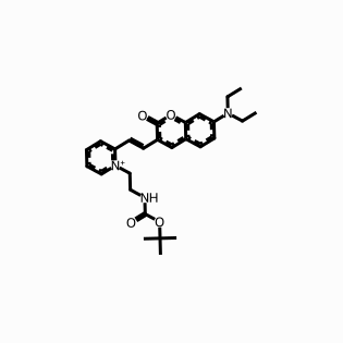 CCN(CC)c1ccc2cc(/C=C/c3cccc[n+]3CCNC(=O)OC(C)(C)C)c(=O)oc2c1